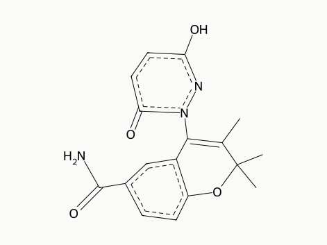 CC1=C(n2nc(O)ccc2=O)c2cc(C(N)=O)ccc2OC1(C)C